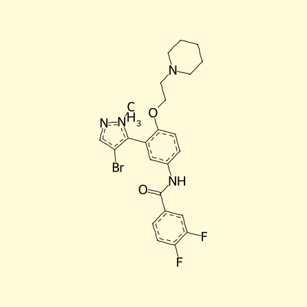 Cn1ncc(Br)c1-c1cc(NC(=O)c2ccc(F)c(F)c2)ccc1OCCN1CCCCC1